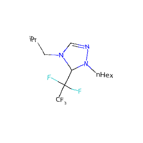 CCCCCCN1N=CN(CC(C)C)C1C(F)(F)C(F)(F)F